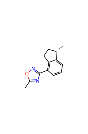 Cc1nc(-c2cccc3c2CC[C@@H]3C)no1